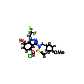 COc1ccc(CN(SC2CC2)c2nn(CC(F)F)c3c(Br)ccc(OCl)c23)cc1